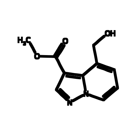 COC(=O)c1cnn2cccc(CO)c12